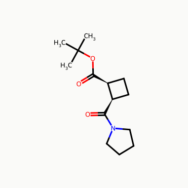 CC(C)(C)OC(=O)[C@H]1CC[C@H]1C(=O)N1CCCC1